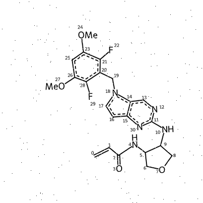 C=CC(=O)NC1COCC1Nc1ncc2c(ccn2Cc2c(F)c(OC)cc(OC)c2F)n1